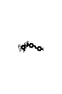 Fc1cc(OC(F)(F)C2CCC(CCC3CCC(I)CC3)CC2)cc(F)c1F